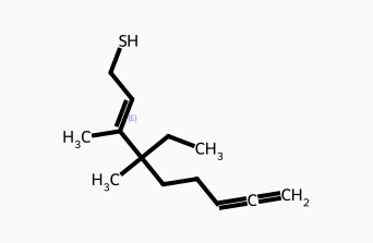 C=C=CCCC(C)(CC)/C(C)=C/CS